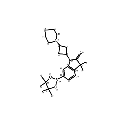 CC1(C)C(=O)N(C2CC(N3CCCCC3)C2)c2cc(B3OC(C)(C)C(C)(C)O3)ccc21